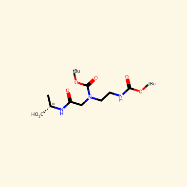 C[C@H](NC(=O)CN(CCNC(=O)OC(C)(C)C)C(=O)OC(C)(C)C)C(=O)O